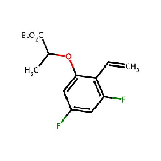 C=Cc1c(F)cc(F)cc1OC(C)C(=O)OCC